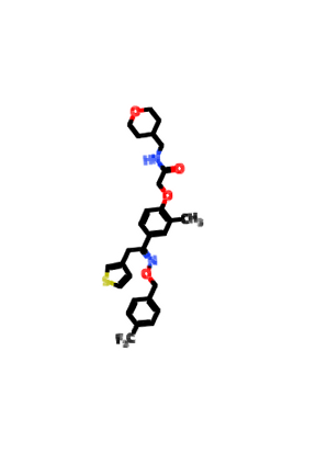 Cc1cc(C(Cc2ccsc2)=NOCc2ccc(C(F)(F)F)cc2)ccc1OCC(=O)NCC1CCOCC1